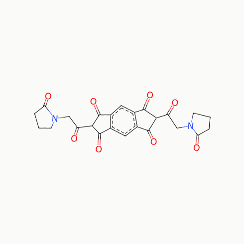 O=C(CN1CCCC1=O)C1C(=O)c2cc3c(cc2C1=O)C(=O)C(C(=O)CN1CCCC1=O)C3=O